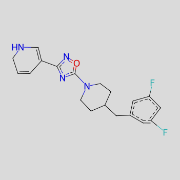 Fc1cc(F)cc(CC2CCN(c3nc(C4=CNCC=C4)no3)CC2)c1